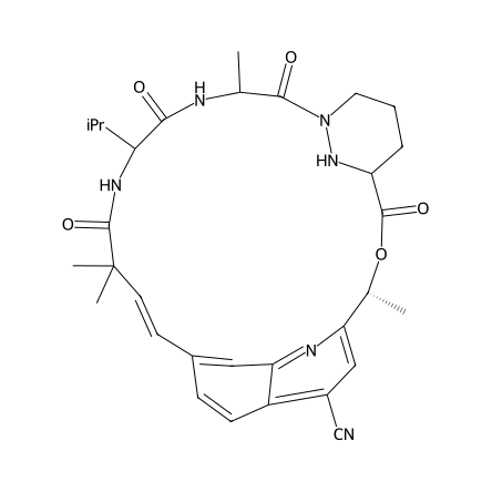 CC1NC(=O)C(C(C)C)NC(=O)C(C)(C)/C=C/c2ccc3c(C#N)cc(nc3c2)[C@@H](C)OC(=O)C2CCCN(N2)C1=O